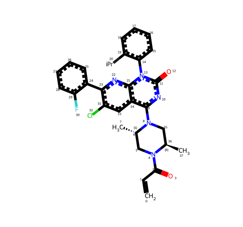 C=CC(=O)N1C[C@H](C)N(c2nc(=O)n(-c3ccccc3C(C)C)c3nc(-c4ccccc4F)c(Cl)cc23)C[C@H]1C